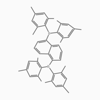 Cc1cc(C)c(B(c2c(C)cc(C)cc2C)c2cccc3c(B(c4c(C)cc(C)cc4C)c4c(C)cc(C)cc4C)cccc23)c(C)c1